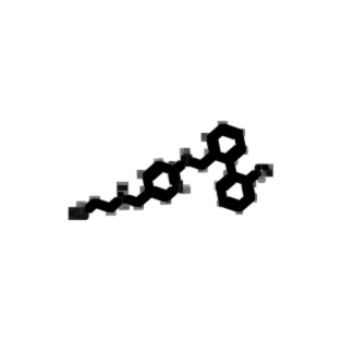 N#Cc1ccccc1-c1ccccc1COc1ccc(CNCCO)cn1